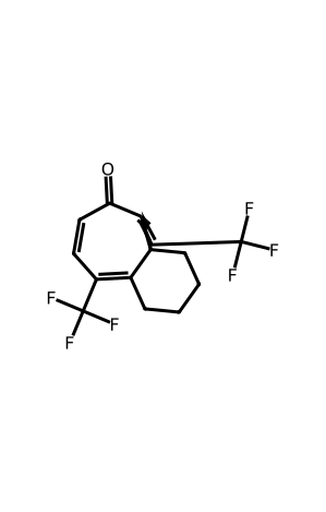 O=C1C=CC(C(F)(F)F)=C2CCCCC23CC(C(F)(F)F)=CC=C13